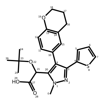 Cn1nc(-c2cccs2)c(-c2ccc3c(c2)CCCO3)c1C(OC(C)(C)C)C(=O)O